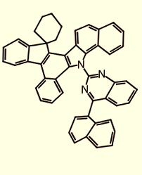 c1ccc2c(c1)-c1c(c3c4ccc5ccccc5c4n(-c4nc(-c5cccc6ccccc56)c5ccccc5n4)c3c3ccccc13)C21CCCCC1